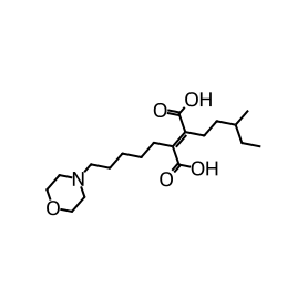 CCC(C)CCC(C(=O)O)=C(CCCCCN1CCOCC1)C(=O)O